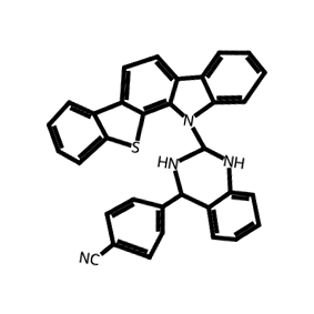 N#Cc1ccc(C2NC(n3c4ccccc4c4ccc5c6ccccc6sc5c43)Nc3ccccc32)cc1